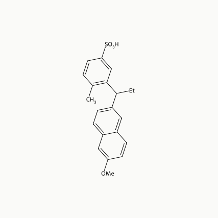 CCC(c1ccc2cc(OC)ccc2c1)c1cc(S(=O)(=O)O)ccc1C